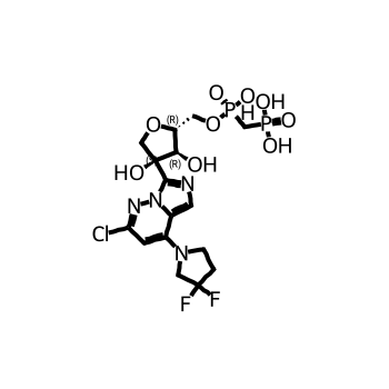 O=P(O)(O)CP(=O)(O)OC[C@H]1OC[C@@](O)(c2ncc3c(N4CCC(F)(F)C4)cc(Cl)nn23)[C@@H]1O